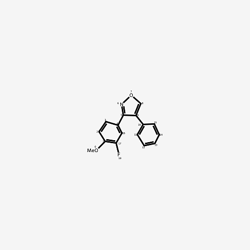 COc1ccc(-c2nocc2-c2ccccc2)cc1F